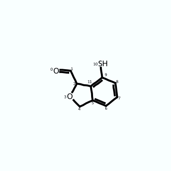 O=CC1OCc2cccc(S)c21